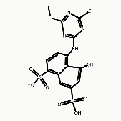 COc1nc(Cl)nc(Nc2ccc(S(=O)(=O)O)c3cc(S(=O)(=O)O)cc(O)c23)n1